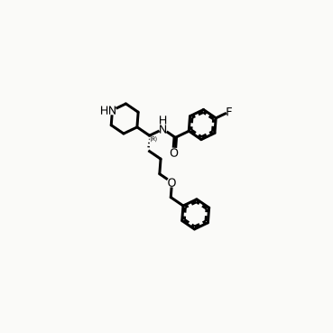 O=C(N[C@H](CCCOCc1ccccc1)C1CCNCC1)c1ccc(F)cc1